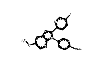 COc1ccc(-n2c(-c3ccc(F)cn3)nc3cc(OC(F)(F)F)cnc32)cn1